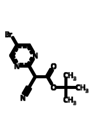 CC(C)(C)OC(=O)C(C#N)c1ncc(Br)cn1